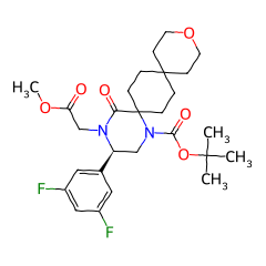 COC(=O)CN1C(=O)C2(CCC3(CCOCC3)CC2)N(C(=O)OC(C)(C)C)C[C@H]1c1cc(F)cc(F)c1